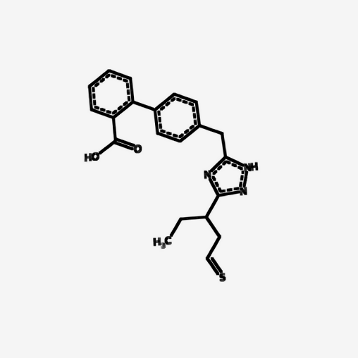 CCC(CC=S)c1n[nH]c(Cc2ccc(-c3ccccc3C(=O)O)cc2)n1